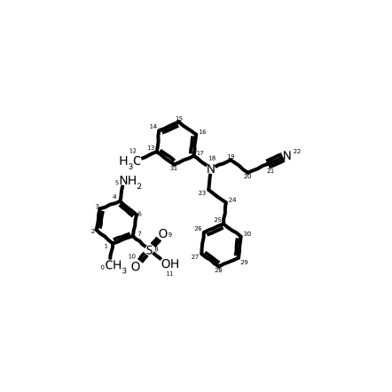 Cc1ccc(N)cc1S(=O)(=O)O.Cc1cccc(N(CCC#N)CCc2ccccc2)c1